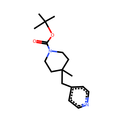 CC1(Cc2ccncc2)CCN(C(=O)OC(C)(C)C)CC1